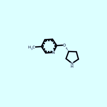 Cc1ccc(O[C@@H]2CCNC2)nc1